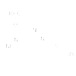 CC(C)c1csc(C2=C(CN3CCN(c4ccc(C(=O)O)c(Oc5cnc6[nH]ccc6c5)c4)CC3)CCC(C)(C)C2)c1